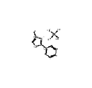 C[n+]1coc(-c2ccccc2)n1.F[B-](F)(F)F